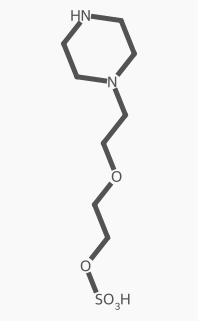 O=S(=O)(O)OCCOCCN1CCNCC1